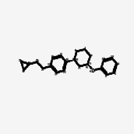 c1ccc(O[C@@H]2CCC[C@H](c3ccc(CCC4CC4)cc3)C2)cc1